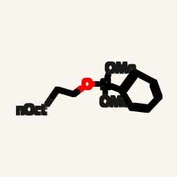 CCCCCCCCCCO[Si](OC)(OC)c1ccccc1